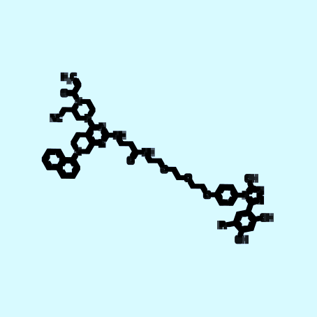 C=CC(=O)N1CCN(c2nc(NCCC(=O)NCCOCCOCCOc3ccc(-n4c(O)nnc4-c4cc(C(C)C)c(O)cc4O)cc3)nc3c2CCN(c2cccc4ccccc24)C3)CC1CC#N